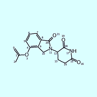 C=C(C)Oc1cccc2c1CN(C1CCC(=O)NC1=O)C2=O